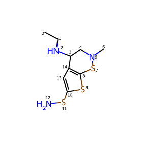 CCNC1CN(C)Sc2sc(SN)cc21